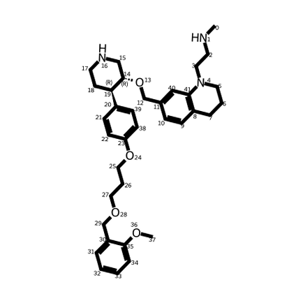 CNCCN1CCCc2ccc(CO[C@H]3CNCC[C@@H]3c3ccc(OCCCOCc4ccccc4OC)cc3)cc21